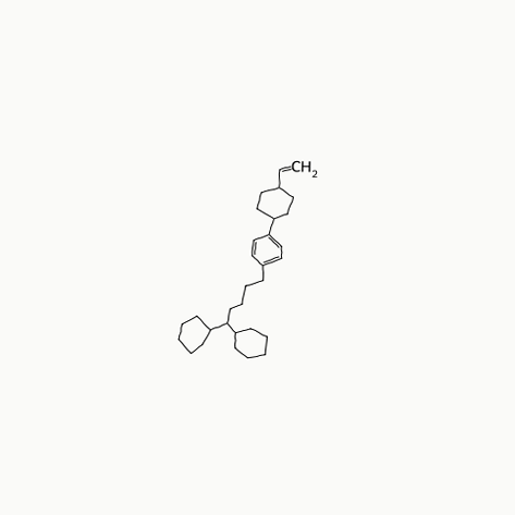 C=CC1CCC(c2ccc(CCCCC(C3CCCCC3)C3CCCCC3)cc2)CC1